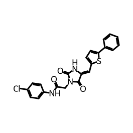 O=C(CN1C(=O)N/C(=C\c2ccc(-c3ccccc3)s2)C1=O)Nc1ccc(Cl)cc1